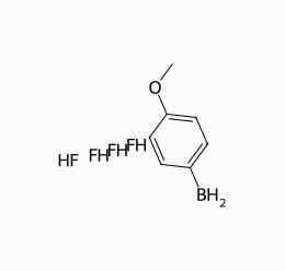 Bc1ccc(OC)cc1.F.F.F.F